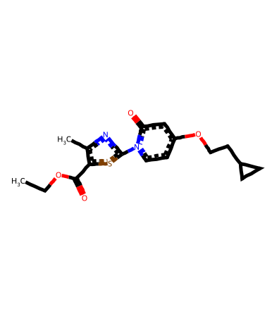 CCOC(=O)c1sc(-n2ccc(OCCC3CC3)cc2=O)nc1C